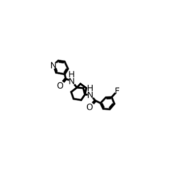 O=C(NC12CCCC(NC(=O)c3cccc(F)c3)(CC1)C2)c1cccnc1